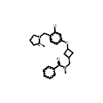 C[C@H]1CCCN1Cc1ccc(OC2CC(CN(C)C(=O)c3ccccc3)C2)cc1Cl